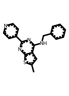 Cc1cc2c(NCc3ccccc3)nc(-c3ccncc3)nc2s1